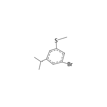 CSc1cc(Br)cc([C](C)C)c1